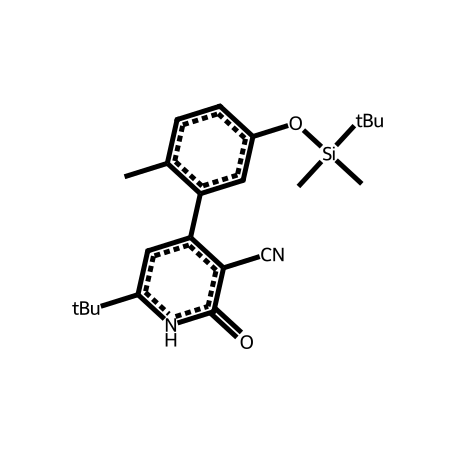 Cc1ccc(O[Si](C)(C)C(C)(C)C)cc1-c1cc(C(C)(C)C)[nH]c(=O)c1C#N